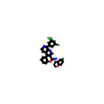 O=C(N[C@H]1CCOc2ccccc21)c1cnc2c(-c3cc(Cl)cc(Cl)c3)nccc2c1-c1ccccc1